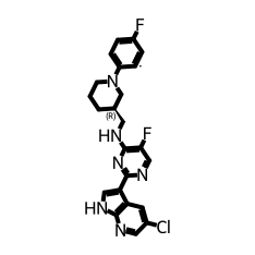 Fc1c[c]c(N2CCC[C@H](CNc3nc(-c4c[nH]c5ncc(Cl)cc45)ncc3F)C2)cc1